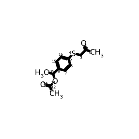 CC(=O)CSc1ccc(C(C)OC(C)=O)cc1